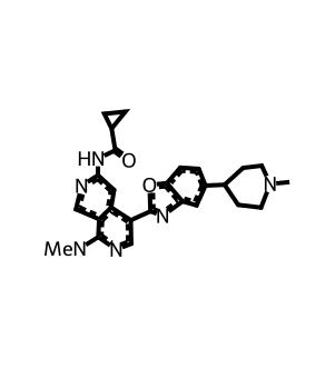 CNc1ncc(-c2nc3cc(C4CCN(C)CC4)ccc3o2)c2cc(NC(=O)C3CC3)ncc12